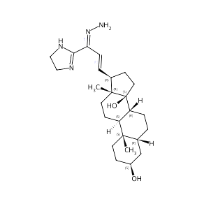 C[C@]12CC[C@H](O)C[C@H]1CC[C@@H]1[C@@H]2CC[C@]2(C)[C@@H](/C=C/C(=N\N)C3=NCCN3)CC[C@]12O